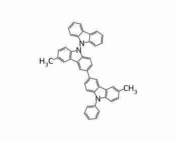 Cc1ccc2c(c1)c1cc(-c3ccc4c(c3)c3cc(C)ccc3n4-n3c4ccccc4c4ccccc43)ccc1n2-c1ccccc1